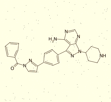 Nc1ncnc2c1c(-c1ccc(-c3[c]cn(C(=O)c4ccccc4)n3)cc1)nn2C1CCNCC1